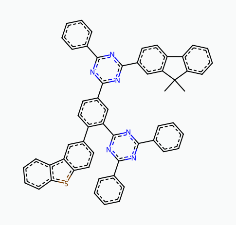 CC1(C)c2ccccc2-c2ccc(-c3nc(-c4ccccc4)nc(-c4ccc(-c5ccc6sc7ccccc7c6c5)c(-c5nc(-c6ccccc6)nc(-c6ccccc6)n5)c4)n3)cc21